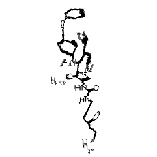 CCCC(=O)CCNC(=O)Nc1cn2ncc(C#N)c(Nc3ccc(Oc4ccccc4)cc3)c2c1C